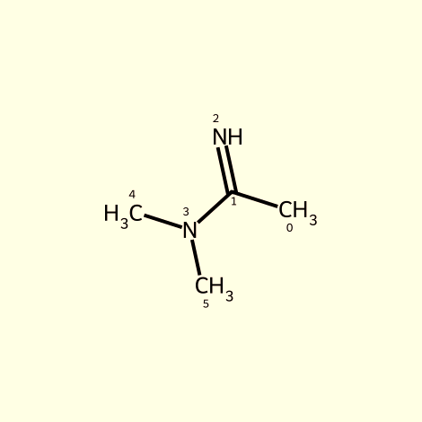 CC(=N)N(C)C